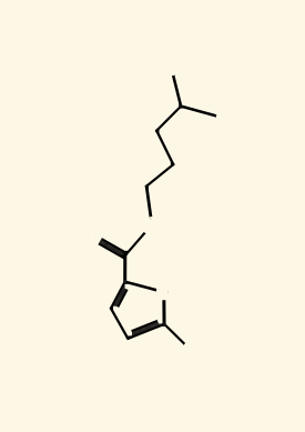 CC(C)CCCOC(=O)c1ccc(O)o1